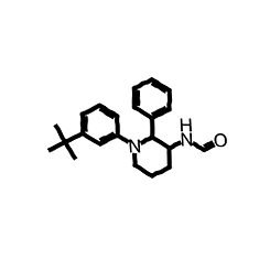 CC(C)(C)c1cccc(N2CCCC(NC=O)C2c2ccccc2)c1